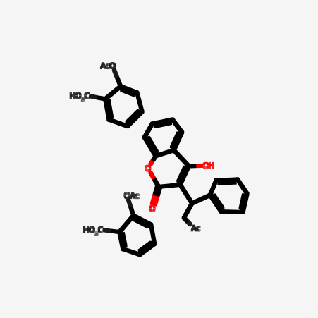 CC(=O)CC(c1ccccc1)c1c(O)c2ccccc2oc1=O.CC(=O)Oc1ccccc1C(=O)O.CC(=O)Oc1ccccc1C(=O)O